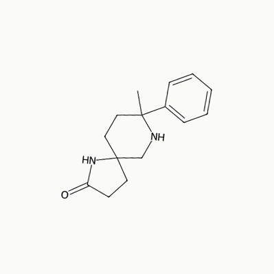 CC1(c2ccccc2)CCC2(CCC(=O)N2)CN1